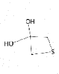 OC1(O)CSC1